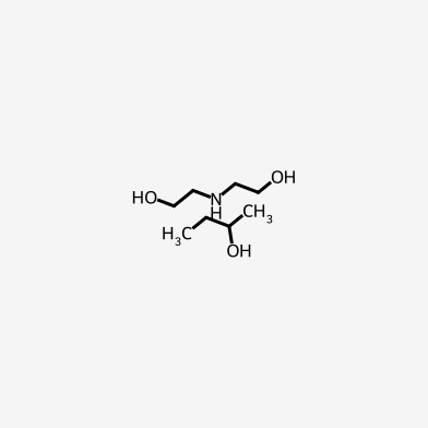 CCC(C)O.OCCNCCO